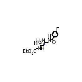 CCOC(=O)CNC(=N)/C=C(\N)CNC(=O)c1ccc(F)cc1